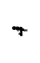 C=C(C)C(=O)OCCc1cc(-c2ccc(-c3ccccc3)cc2F)ccc1CCO